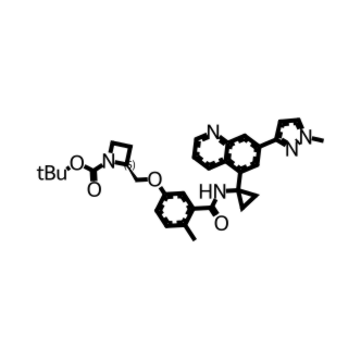 Cc1ccc(OC[C@@H]2CCN2C(=O)OC(C)(C)C)cc1C(=O)NC1(c2cc(-c3ccn(C)n3)cc3ncccc23)CC1